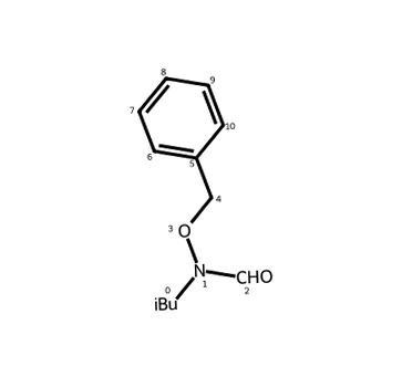 [CH2]CC(C)N(C=O)OCc1ccccc1